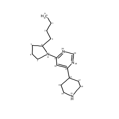 CCCCC1CCCN1c1cc(C2CCNCC2)ncn1